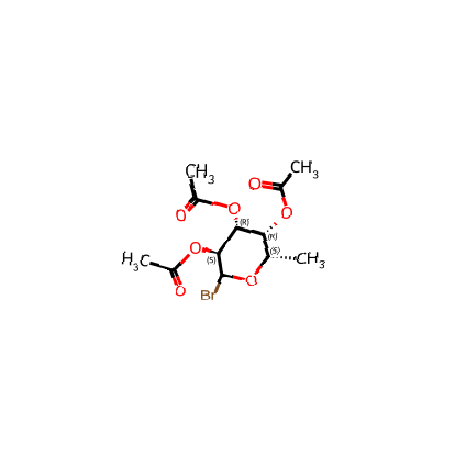 CC(=O)O[C@@H]1[C@H](OC(C)=O)[C@H](C)OC(Br)[C@H]1OC(C)=O